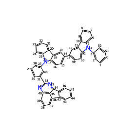 c1ccc(-n2c3ccccc3c3cc(-c4ccc5c(c4)c4ccccc4n5-c4cccc(-c5nc6c7c(cccc7n5)-c5ccccc5-6)c4)ccc32)cc1